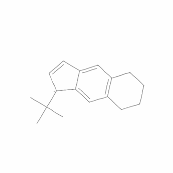 CC(C)(C)[C]1C=Cc2cc3c(cc21)CCCC3